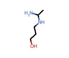 CC(N)NCCCO